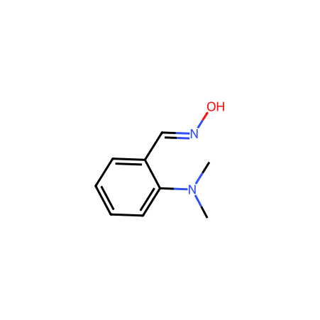 CN(C)c1ccccc1C=NO